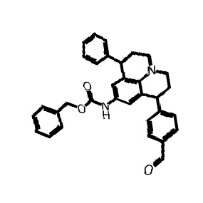 O=Cc1ccc(C2CCN3CCC(c4ccccc4)c4cc(NC(=O)OCc5ccccc5)cc2c43)cc1